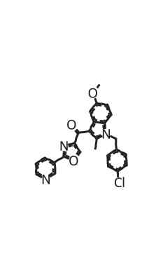 COc1ccc2c(c1)c(C(=O)c1coc(-c3cccnc3)n1)c(C)n2Cc1ccc(Cl)cc1